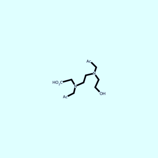 CC(=O)CN(CCO)CCN(CC(C)=O)CC(=O)O